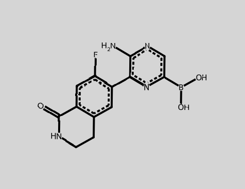 Nc1ncc(B(O)O)nc1-c1cc2c(cc1F)C(=O)NCC2